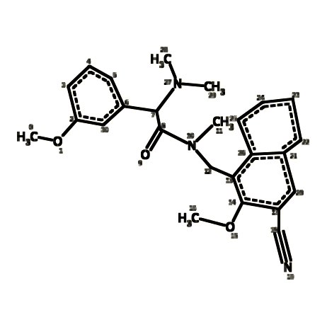 COc1cccc(C(C(=O)N(C)Cc2c(OC)c(C#N)cc3ccccc23)N(C)C)c1